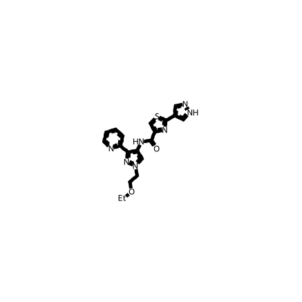 CCOCCn1cc(NC(=O)c2csc(-c3cn[nH]c3)n2)c(-c2ccccn2)n1